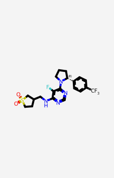 O=S1(=O)CCC(CNc2ncnc(N3CCC[C@@H]3c3ccc(C(F)(F)F)cc3)c2F)C1